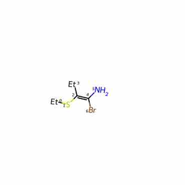 CCS/C(CC)=C(/N)Br